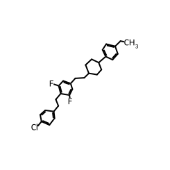 CCc1ccc(C2CCC(CCc3cc(F)c(CCc4ccc(Cl)cc4)c(F)c3)CC2)cc1